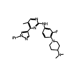 Cc1cnc(Nc2ccc(N3CCC(N(C)C)CC3)c(F)c2)nc1-c1cnn(C(C)C)c1